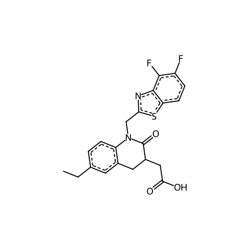 CCc1ccc2c(c1)CC(CC(=O)O)C(=O)N2Cc1nc2c(F)c(F)ccc2s1